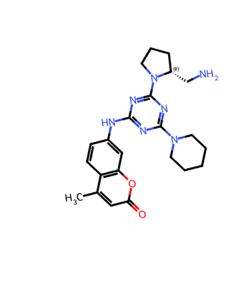 Cc1cc(=O)oc2cc(Nc3nc(N4CCCCC4)nc(N4CCC[C@@H]4CN)n3)ccc12